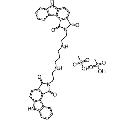 CS(=O)(=O)O.CS(=O)(=O)O.O=C1c2ccc3[nH]c4ccccc4c3c2C(=O)N1CCNCCCNCCN1C(=O)c2ccc3[nH]c4ccccc4c3c2C1=O